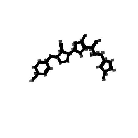 Cc1nc(N2CCN(CC3=CCC(F)C=C3)C2=O)sc1C(=O)NCc1cnn(C)c1